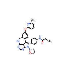 C=CC(=O)Nc1ccc(-c2c3c4c(ncnc4n2C2CCCO2)NCc2cc(Oc4cccc(C)n4)ccc2-3)cc1